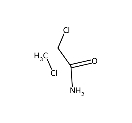 CCl.NC(=O)CCl